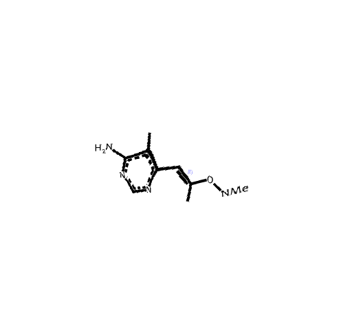 CNO/C(C)=C/c1ncnc(N)c1C